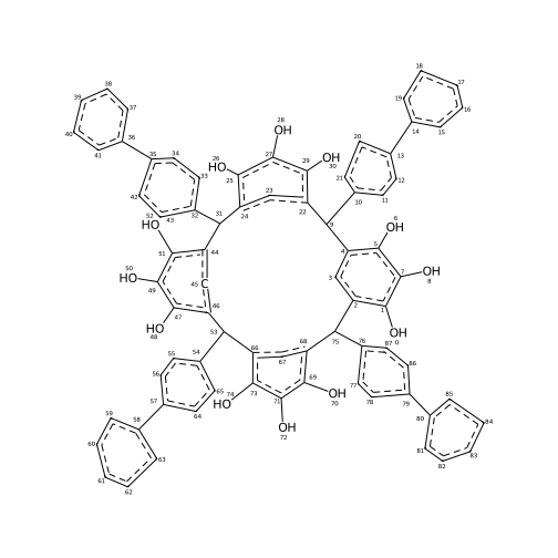 Oc1c2cc(c(O)c1O)C(c1ccc(-c3ccccc3)cc1)c1cc(c(O)c(O)c1O)C(c1ccc(-c3ccccc3)cc1)c1cc(c(O)c(O)c1O)C(c1ccc(-c3ccccc3)cc1)c1cc(c(O)c(O)c1O)C2c1ccc(-c2ccccc2)cc1